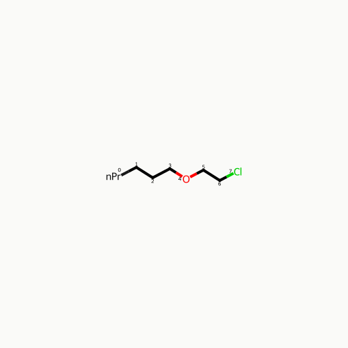 CCCCCCOCCCl